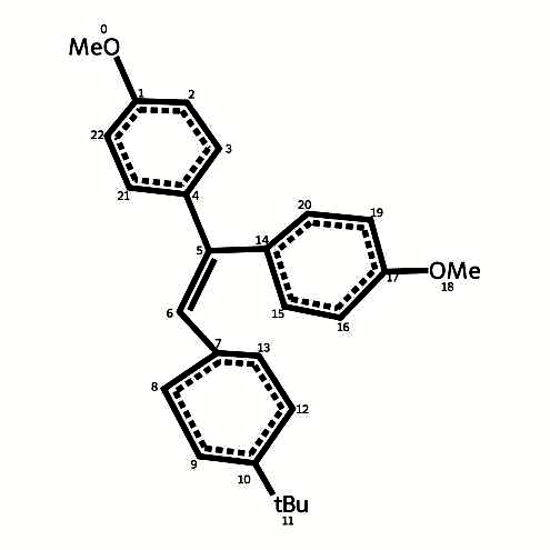 COc1ccc(C(=Cc2ccc(C(C)(C)C)cc2)c2ccc(OC)cc2)cc1